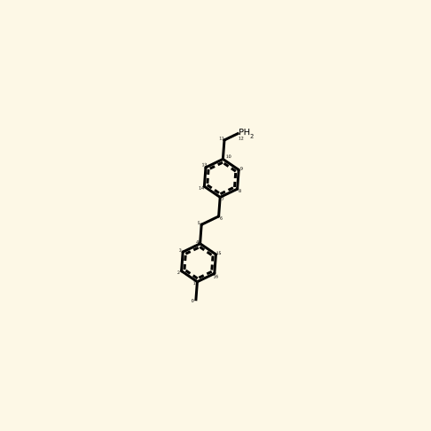 Cc1ccc(CCc2ccc(CP)cc2)cc1